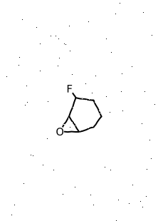 FC1CCCC2OC12